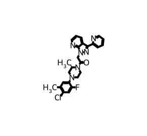 Cc1cc(N2CCN(C(=O)Cn3nc(-c4ccccn4)c4cccnc43)[C@@H](C)C2)c(F)cc1Cl